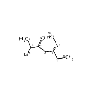 CCC(CC(=O)C(C)Br)=NO